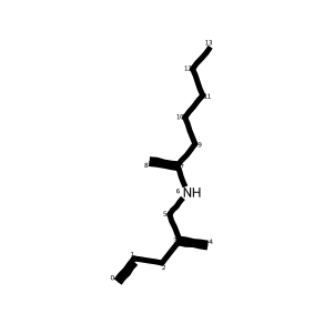 C=CCC(=C)CNC(=C)CCCCC